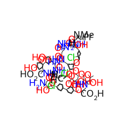 CN[C@H](CC(C)C)C(=O)N[C@@H]1C(=O)NC(C(N)=O)CC(=O)NC2C(=O)NC3C(=O)N[C@H](C(=O)NC(C(=O)O)c4cc(O)cc(O)c4-c4cc3ccc4O)[C@H](OC3CC(C)(N)C(O)C(C)O3)c3ccc(c(Cl)c3)Oc3cc2cc(c3OC2OC(CO)C(O)C(O)C2OC2CC(C)(NCC(OCc3ccc(-c4ccc(Cl)cc4)cc3)C(=O)O)C(O)C(C)O2)Oc2ccc(cc2Cl)C1O